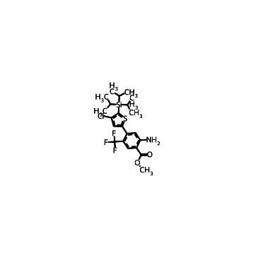 COC(=O)c1cc(C(F)(F)F)c(-c2cc(Cl)c([Si](C(C)C)(C(C)C)C(C)C)s2)cc1N